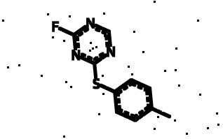 Cc1ccc(Sc2ncnc(F)n2)cc1